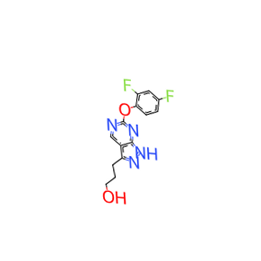 OCCCc1n[nH]c2nc(Oc3ccc(F)cc3F)ncc12